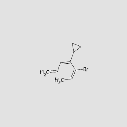 C=C/C=C(\C(Br)=C/C)C1CC1